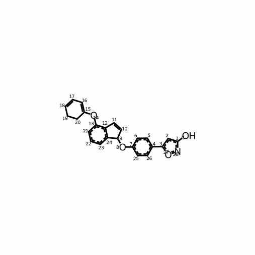 Oc1cc(-c2ccc(OC3C=Cc4c(OC5=CC=CCC5)cccc43)cc2)on1